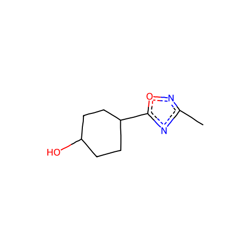 Cc1noc(C2CCC(O)CC2)n1